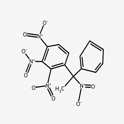 CC(c1ccccc1)(c1ccc([N+](=O)[O-])c([N+](=O)[O-])c1[N+](=O)[O-])[N+](=O)[O-]